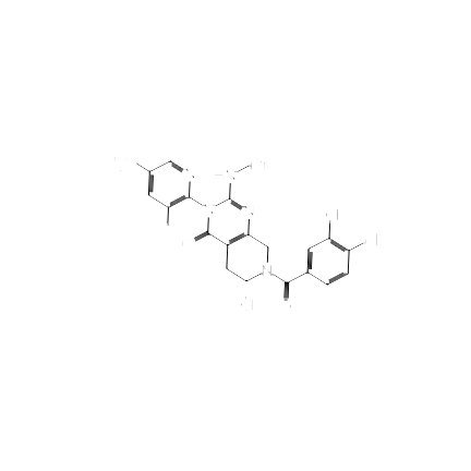 CC(C)Nc1nc2c(c(=O)n1-c1ncc(C(=O)O)cc1Cl)C[C@@H](C)N(C(=O)c1ccc(Cl)c(C(F)(F)F)c1)C2